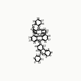 c1ccc(-n2c3ccccc3c3cc(B4c5ccccc5[Si]5(c6ccccc64)c4ccccc4B4c6ccccc6Sc6cccc5c64)ccc32)cc1